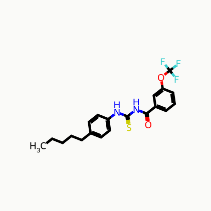 CCCCCc1ccc(NC(=S)NC(=O)c2cccc(OC(F)(F)F)c2)cc1